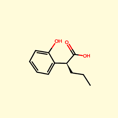 CCC[C@H](C(=O)O)c1ccccc1O